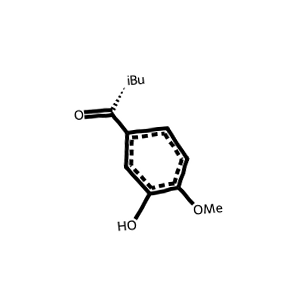 CC[C@@H](C)C(=O)c1ccc(OC)c(O)c1